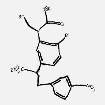 CCOC(=O)C(Cc1ccc([N+](=O)[O-])cc1)c1ccc(CC)c(N(CC(C)C)C(=O)C(C)(C)C)c1